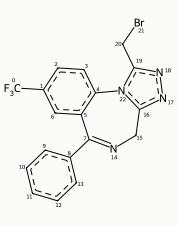 FC(F)(F)c1ccc2c(c1)C(c1ccccc1)=NCc1nnc(CBr)n1-2